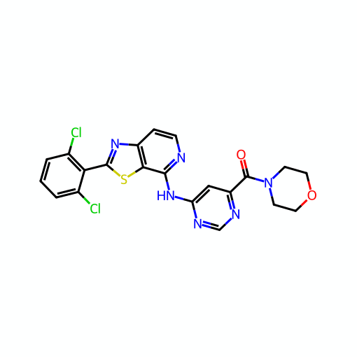 O=C(c1cc(Nc2nccc3nc(-c4c(Cl)cccc4Cl)sc23)ncn1)N1CCOCC1